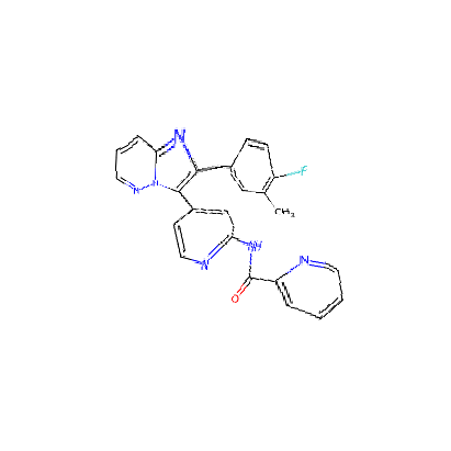 Cc1cc(-c2nc3cccnn3c2-c2ccnc(NC(=O)c3ccccn3)c2)ccc1F